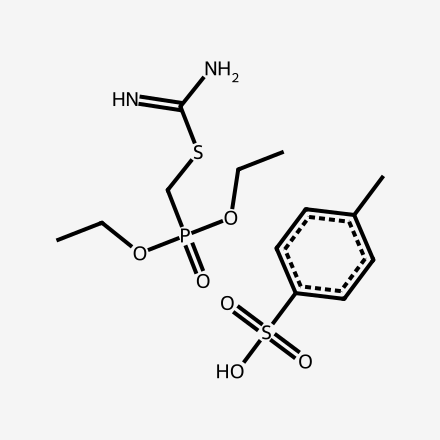 CCOP(=O)(CSC(=N)N)OCC.Cc1ccc(S(=O)(=O)O)cc1